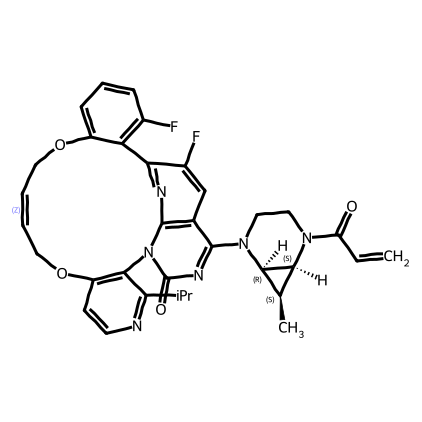 C=CC(=O)N1CCN(c2nc(=O)n3c4nc(c(F)cc24)-c2c(F)cccc2OC/C=C\COc2ccnc(C(C)C)c2-3)[C@@H]2[C@H](C)[C@@H]21